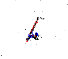 COCCOCCOCCOCCOCCOCCOCCOCCCOc1nn(C2CCC(N3CCOCC3)CC2)cc1Nc1ncc(-c2ccc(C#N)c(O[C@@H](C)Cn3cnnn3)c2)cn1